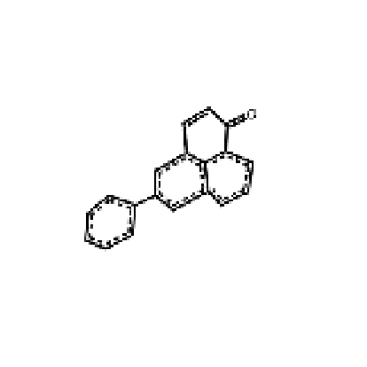 O=C1C=Cc2cc(-c3ccccc3)cc3cccc1c23